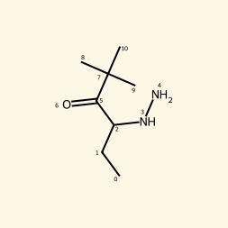 CCC(NN)C(=O)C(C)(C)C